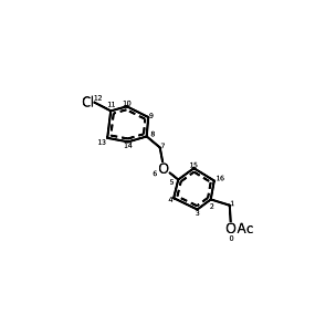 CC(=O)OCc1ccc(OCc2ccc(Cl)cc2)cc1